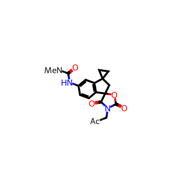 CNC(=O)Nc1ccc2c(c1)C1(CC1)CC21OC(=O)N(CC(C)=O)C1=O